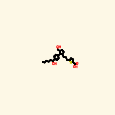 CCCCCC(O)c1ccc(C2=C(CO)CCC2CCCc2ccc(C(=O)O)s2)cc1